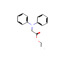 CCOC(=O)CN(c1ccccc1)c1ccccc1